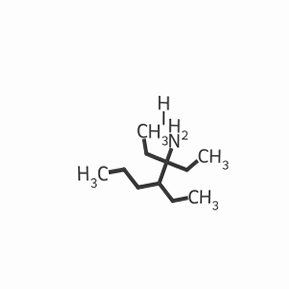 CCCC(CC)C(N)(CC)CC.I